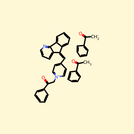 CC(=O)c1ccccc1.O=C(C[n+]1ccc(C=C2c3ccccc3-c3ncccc32)cc1)c1ccccc1.[CH2-]C(=O)c1ccccc1